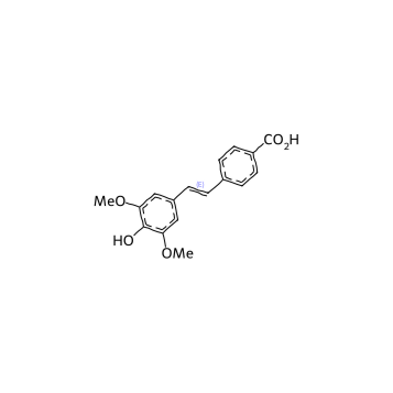 COc1cc(/C=C/c2ccc(C(=O)O)cc2)cc(OC)c1O